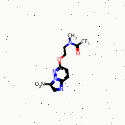 CN(CCOc1ccc2ncc([N+](=O)[O-])n2n1)C(=O)C(F)(F)F